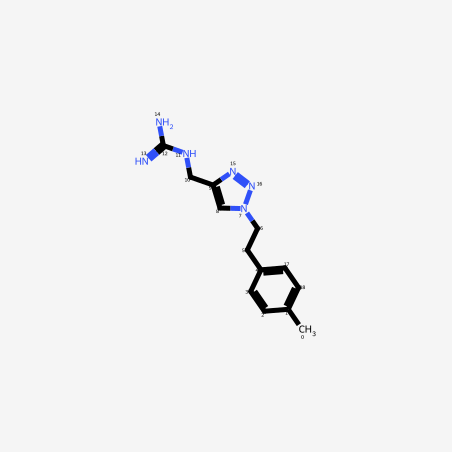 Cc1ccc(CCn2cc(CNC(=N)N)nn2)cc1